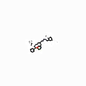 CCN1/C(=C/C=C/C(=C/C=C/C2=[N+](CCS(=O)(=O)O)c3ccccc3C2(C)C)Cc2ccccc2)C(C)(C)c2cc(C)ccc21